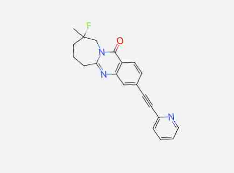 CC1(F)CCCc2nc3cc(C#Cc4ccccn4)ccc3c(=O)n2C1